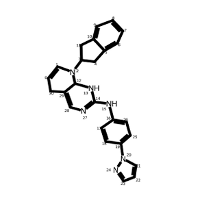 C1=CN(C2Cc3ccccc3C2)C2NC(Nc3ccc(-n4cccn4)cc3)=NC=C2C1